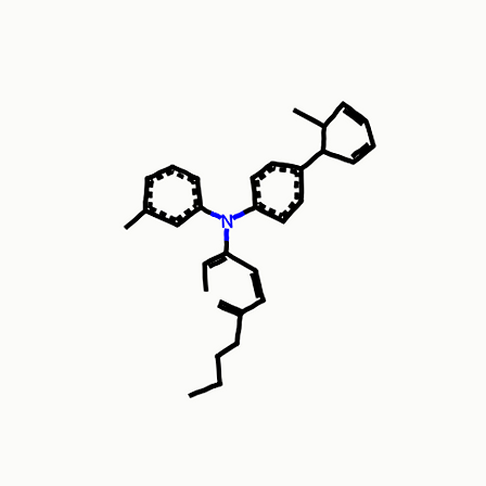 C=C(/C=C\C(=C/C)N(c1ccc(C2C=CC=CC2C)cc1)c1cccc(C)c1)CCCC